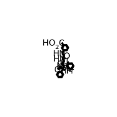 CC(C)C(C(N)=O)(c1ccccc1)N(C(=O)CNC(=O)Nc1cccc(C(=O)O)c1)c1ccccc1Cl